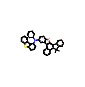 CC1(C)c2ccccc2-c2c1c1ccccc1c1c2oc2ccc(N(c3cccc4sc5ccccc5c34)C3C=CC=CC3)cc21